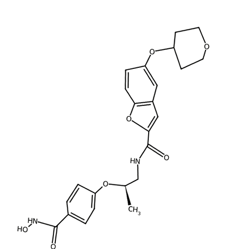 C[C@H](CNC(=O)c1cc2cc(OC3CCOCC3)ccc2o1)Oc1ccc(C(=O)NO)cc1